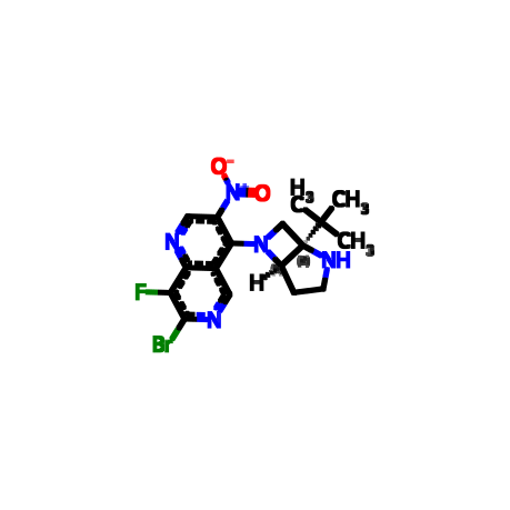 CC(C)(C)[C@@]12CN(c3c([N+](=O)[O-])cnc4c(F)c(Br)ncc34)[C@@H]1CCN2